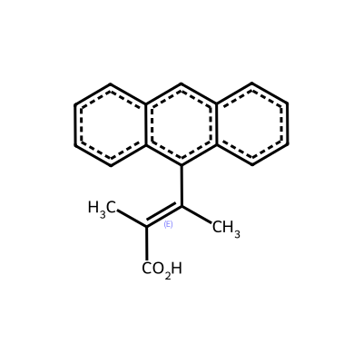 C/C(C(=O)O)=C(/C)c1c2ccccc2cc2ccccc12